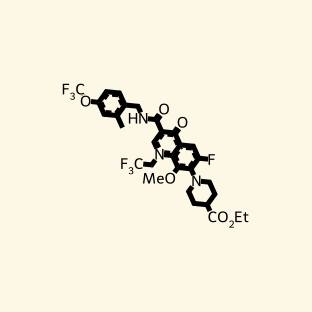 CCOC(=O)C1CCN(c2c(F)cc3c(=O)c(C(=O)NCc4ccc(OC(F)(F)F)cc4C)cn(CC(F)(F)F)c3c2OC)CC1